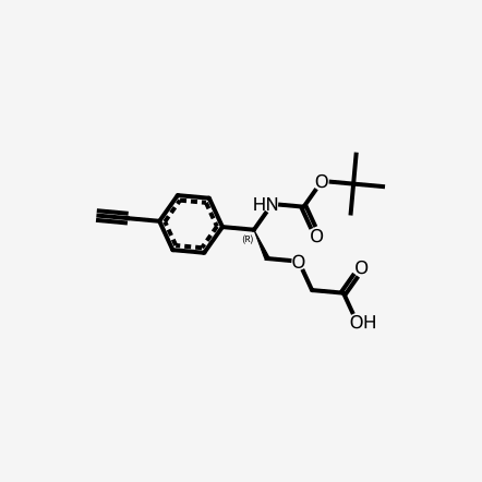 C#Cc1ccc([C@H](COCC(=O)O)NC(=O)OC(C)(C)C)cc1